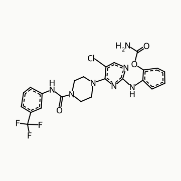 NC(=O)Oc1ccccc1Nc1ncc(Cl)c(N2CCN(C(=O)Nc3cccc(C(F)(F)F)c3)CC2)n1